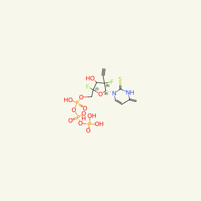 C#C[C@@]1(F)C(O)[C@@](F)(COP(=O)(O)OP(=O)(O)OP(=O)(O)O)O[C@H]1N1C=CC(=C)NC1=S